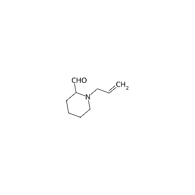 C=CCN1CCCCC1C=O